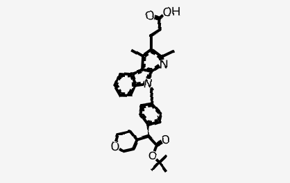 Cc1nc2c(c(C)c1CCC(=O)O)c1ccccc1n2Cc1ccc([C@@H](C(=O)OC(C)(C)C)C2CCOCC2)cc1